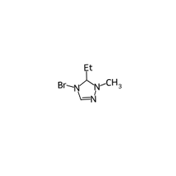 CCC1N(Br)C=NN1C